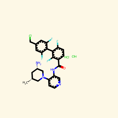 C[C@@H]1C[C@H](N)CN(c2ccncc2NC(=O)c2ccc(F)c(-c3c(F)cc(CCl)cc3F)c2F)C1.Cl.Cl